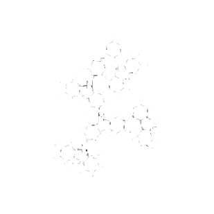 c1ccc([Si](c2ccccc2)(c2ccccc2)c2cccc(-n3c4ccccc4c4cc(-n5c6ccc(-n7c8ccccc8c8ccccc87)cc6c6ccc(-c7cccc8sc9ccccc9c78)cc65)ccc43)c2)cc1